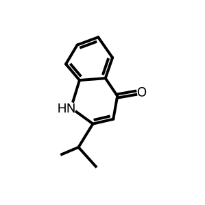 CC(C)c1cc(=O)c2ccccc2[nH]1